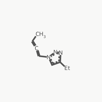 CC=C=Cn1cc(CC)nn1